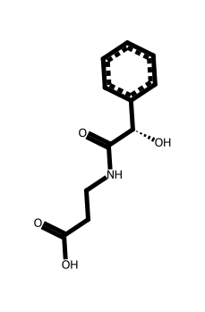 O=C(O)CCNC(=O)[C@@H](O)c1ccccc1